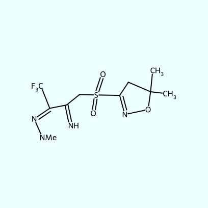 CN/N=C(\C(=N)CS(=O)(=O)C1=NOC(C)(C)C1)C(F)(F)F